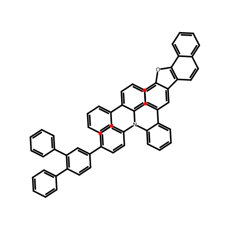 c1ccc(-c2ccc(-c3ccc(N(c4ccccc4-c4ccccc4)c4ccccc4-c4ccc5oc6c7ccccc7ccc6c5c4)cc3)cc2-c2ccccc2)cc1